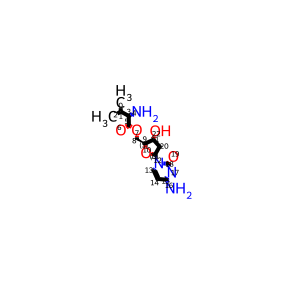 CC(C)C(N)C(=O)OC[C@@H]1O[C@H](n2ccc(N)nc2=O)CC1O